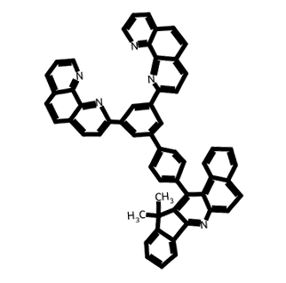 CC1(C)c2ccccc2-c2nc3ccc4ccccc4c3c(-c3ccc(-c4cc(-c5ccc6ccc7cccnc7c6n5)cc(-c5ccc6ccc7cccnc7c6n5)c4)cc3)c21